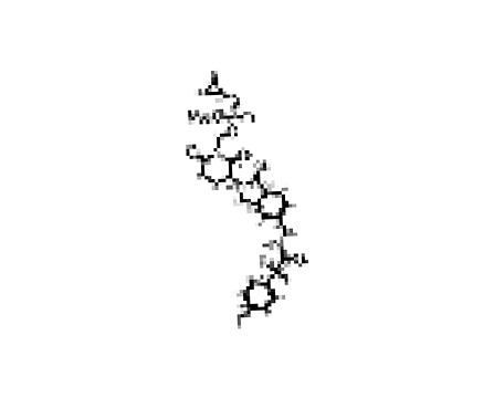 COP(=O)(OCN1C(=O)CCC(N2Cc3cc(CNC(=O)C(F)(F)c4ccc(F)cc4)ccc3C2=O)C1=O)OC1CC1